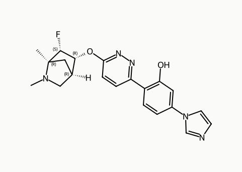 CN1C[C@H]2C[C@]1(C)[C@H](F)[C@@H]2Oc1ccc(-c2ccc(-n3ccnc3)cc2O)nn1